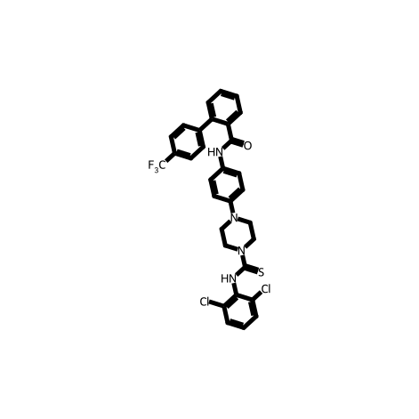 O=C(Nc1ccc(N2CCN(C(=S)Nc3c(Cl)cccc3Cl)CC2)cc1)c1ccccc1-c1ccc(C(F)(F)F)cc1